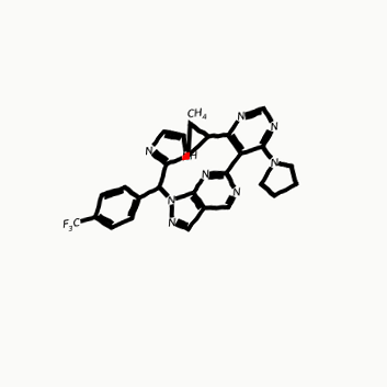 C.FC(F)(F)c1ccc(C(c2ncc[nH]2)n2ncc3cnc(-c4c(C5CC5)ncnc4N4CCCC4)nc32)cc1